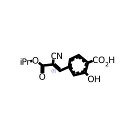 CC(C)OC(=O)/C(C#N)=C/c1ccc(C(=O)O)c(O)c1